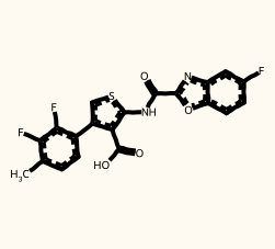 Cc1ccc(-c2csc(NC(=O)c3nc4cc(F)ccc4o3)c2C(=O)O)c(F)c1F